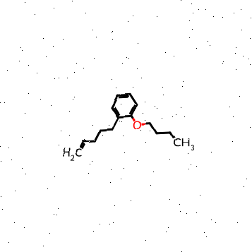 C=CCCCc1ccccc1OCCCC